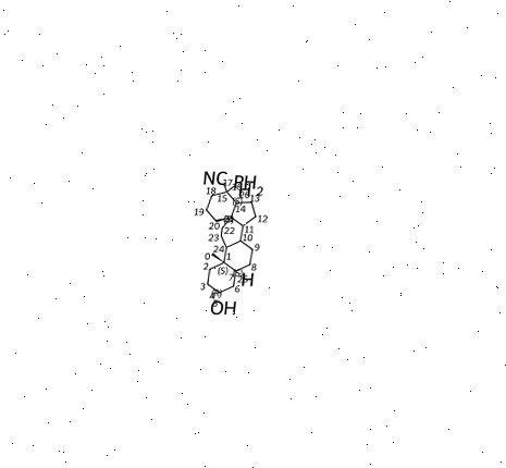 C[C@]12CC[C@@H](O)C[C@@H]1CCC1C3CC[C@@H]4C(P)(C#N)CCC[C@]34CCC12